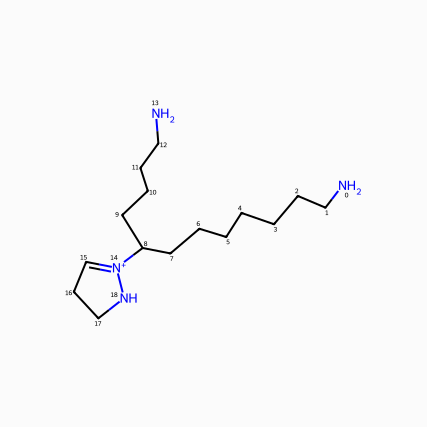 NCCCCCCCC(CCCCN)[N+]1=CCCN1